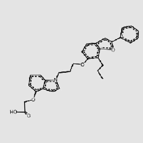 CCCc1c(OCCCn2ccc3c(OCC(=O)O)cccc32)ccc2cc(-c3ccccc3)oc12